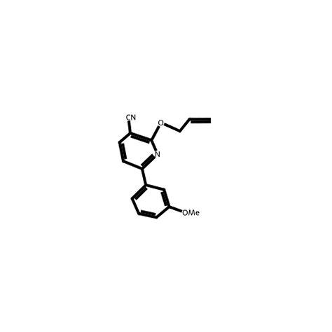 C=CCOc1nc(-c2cccc(OC)c2)ccc1C#N